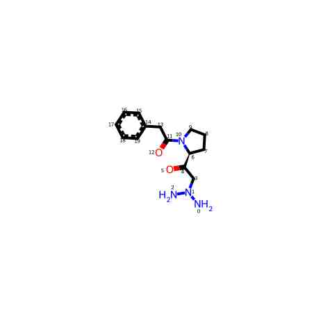 NN(N)CC(=O)[C@@H]1CCCN1C(=O)Cc1ccccc1